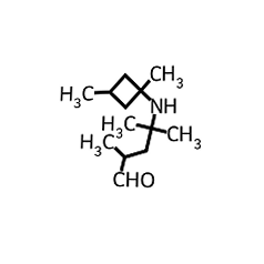 CC(C=O)CC(C)(C)NC1(C)CC(C)C1